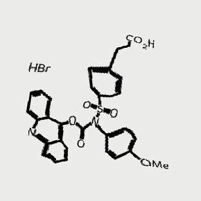 Br.COc1ccc(N(C(=O)Oc2c3ccccc3nc3ccccc23)S(=O)(=O)c2ccc(CCC(=O)O)cc2)cc1